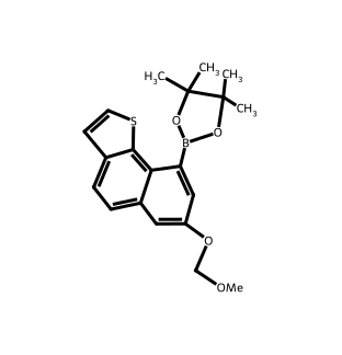 COCOc1cc(B2OC(C)(C)C(C)(C)O2)c2c(ccc3ccsc32)c1